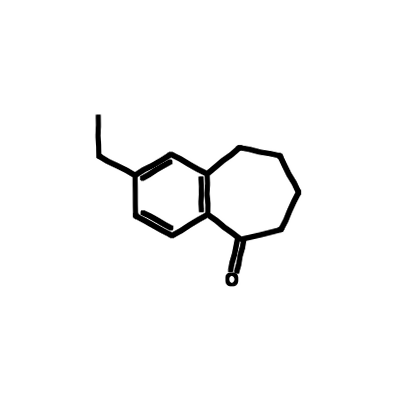 CCc1ccc2c(c1)CCCCC2=O